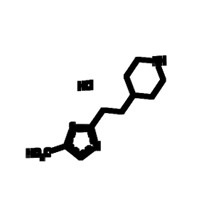 Cl.O=C(O)c1cnc(CCC2CCNCC2)s1